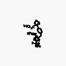 CCCCCn1nc(C(F)(F)CCC)nc1Cc1ccc(-c2ncccc2C(=O)O)cc1